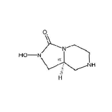 O=C1N(O)C[C@@H]2CNCCN12